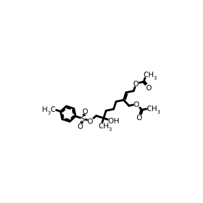 CC(=O)OCC=C(CCCC(C)(O)COS(=O)(=O)c1ccc(C)cc1)COC(C)=O